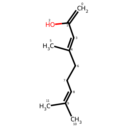 C=C(O)/C=C(\C)CCC=C(C)C